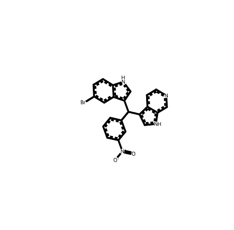 O=[N+]([O-])c1cccc(C(c2c[nH]c3cnccc23)c2c[nH]c3ccc(Br)cc23)c1